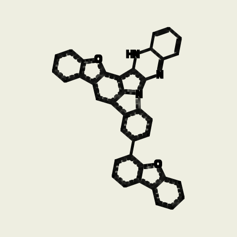 C1=CC2=Nc3c(c4c5oc6ccccc6c5cc5c6cc(-c7cccc8c7oc7ccccc78)ccc6n3c54)NC2C=C1